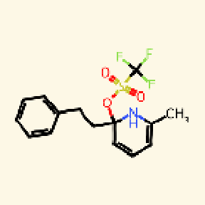 CC1=CC=CC(CCc2ccccc2)(OS(=O)(=O)C(F)(F)F)N1